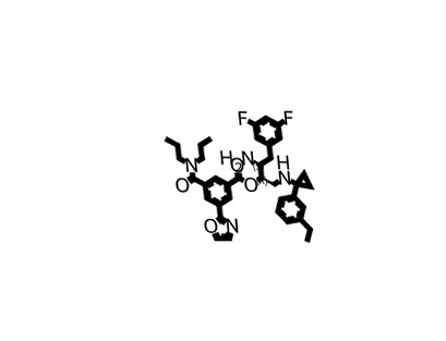 CCCN(CCC)C(=O)c1cc(C(=O)O[C@H](CNC2(c3cccc(CC)c3)CC2)[C@@H](N)Cc2cc(F)cc(F)c2)cc(-c2ncco2)c1